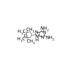 CC1(C)CC(c2nc3c(N)nc(N)nc3[nH]2)CC(C)(C)O1